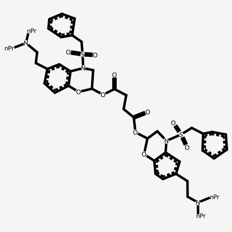 CCCN(CCC)CCc1ccc2c(c1)N(S(=O)(=O)Cc1ccccc1)CC(OC(=O)CCC(=O)OC1CN(S(=O)(=O)Cc3ccccc3)c3cc(CCN(CCC)CCC)ccc3O1)O2